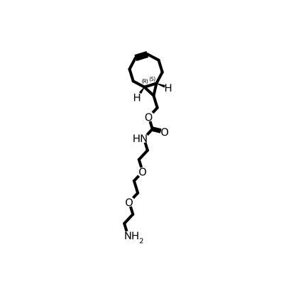 NCCOCCOCCNC(=O)OCC1[C@H]2CCC#CCC[C@@H]12